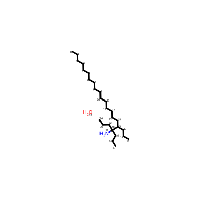 CCCCCCCCCCCCCCCCC(CCC)C(N)(CCC)CCC.O